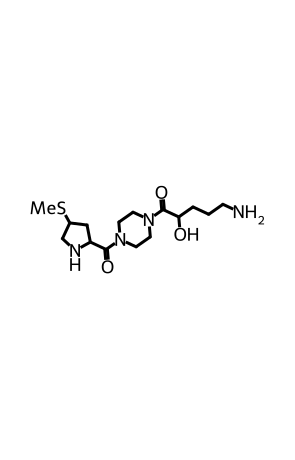 CSC1CNC(C(=O)N2CCN(C(=O)C(O)CCCN)CC2)C1